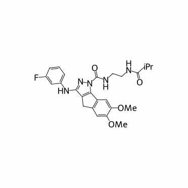 COc1cc2c(cc1OC)-c1c(c(Nc3cccc(F)c3)nn1C(=O)NCCNC(=O)C(C)C)C2